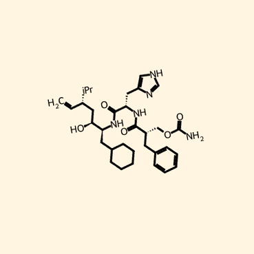 C=C[C@@H](C[C@H](O)[C@H](CC1CCCCC1)NC(=O)[C@H](Cc1c[nH]cn1)NC(=O)[C@H](COC(N)=O)Cc1ccccc1)C(C)C